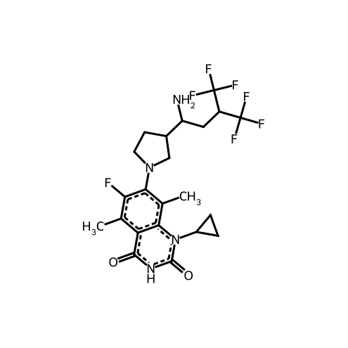 Cc1c(F)c(N2CCC(C(N)CC(C(F)(F)F)C(F)(F)F)C2)c(C)c2c1c(=O)[nH]c(=O)n2C1CC1